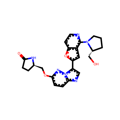 O=C1CC[C@H](COc2ccc3ncc(-c4cc5c(N6CCC[C@@H]6CO)nccc5o4)n3n2)N1